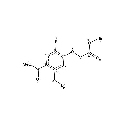 COC(=O)c1cc(F)c(OCC(=O)OC(C)(C)C)cc1CBr